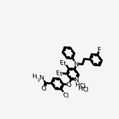 CCc1c(N(CCc2cccc(F)c2)c2ccccc2)cnc(Oc2ccc(C(N)=O)cc2Cl)c1CC.Cl.Cl